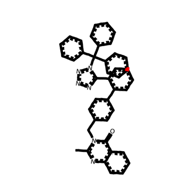 Cc1nc2ccccc2c(=O)n1Cc1ccc(-c2ccccc2-c2nnnn2C(c2ccccc2)(c2ccccc2)c2ccccc2)cc1